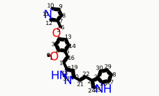 COc1cc(OCc2cccnc2)ccc1C=Cc1cc(C=Cc2c[nH]c3ccccc23)n[nH]1